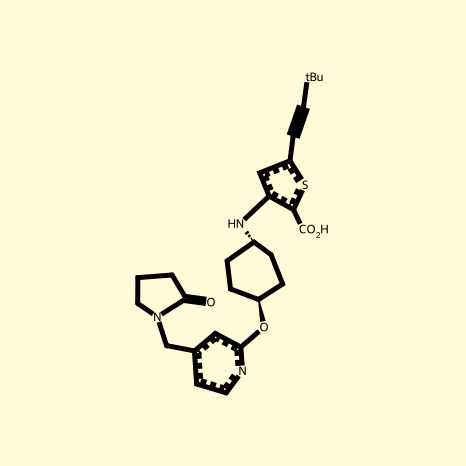 CC(C)(C)C#Cc1cc(N[C@H]2CC[C@H](Oc3cc(CN4CCCC4=O)ccn3)CC2)c(C(=O)O)s1